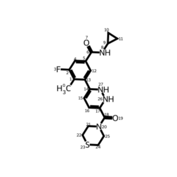 Cc1c(F)cc(C(=O)NC2CC2)cc1C1=CC=C(C(=O)N2CCSCC2)NN1